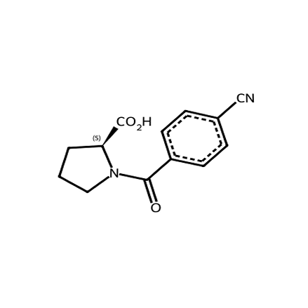 N#Cc1ccc(C(=O)N2CCC[C@H]2C(=O)O)cc1